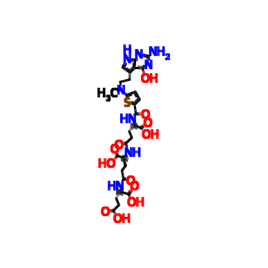 CN(CCc1c[nH]c2nc(N)nc(O)c12)c1ccc(C(=O)N[C@@H](CCC(=O)N[C@@H](CCC(=O)N[C@@H](CCC(=O)O)C(=O)O)C(=O)O)C(=O)O)s1